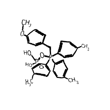 COc1ccc(CP(OP(=O)(O)O)(c2ccc(C)cc2)(c2ccc(C)cc2)c2ccc(C)cc2)cc1